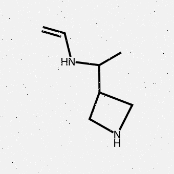 C=CNC(C)C1CNC1